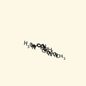 CN1CCC(Sc2cc(C(=O)Nc3ncc4ccc(-c5cnn(C)c5)cc4n3)ccn2)CC1